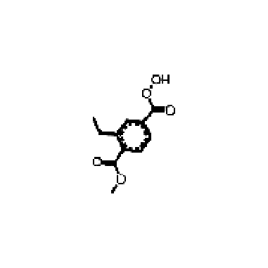 CCc1cc(C(=O)OO)ccc1C(=O)OC